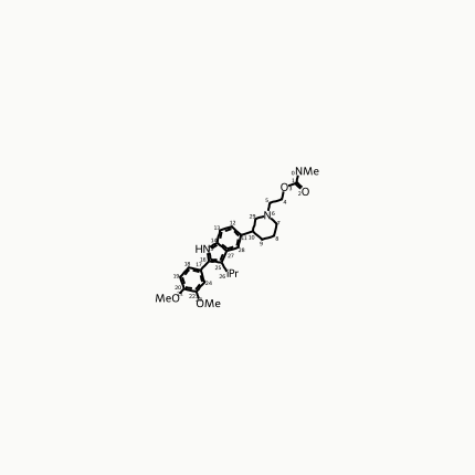 CNC(=O)OCCN1CCCC(c2ccc3[nH]c(-c4ccc(OC)c(OC)c4)c(C(C)C)c3c2)C1